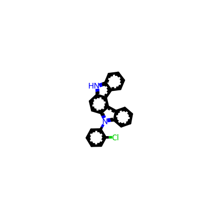 Clc1ccccc1-n1c2ccccc2c2c3c(ccc21)[nH]c1ccccc13